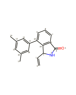 C=CC1NC(=O)c2cccc(-c3cc(C)cc(C)c3)c21